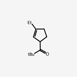 CCC1=CC(C(=O)C(C)(C)C)CC1